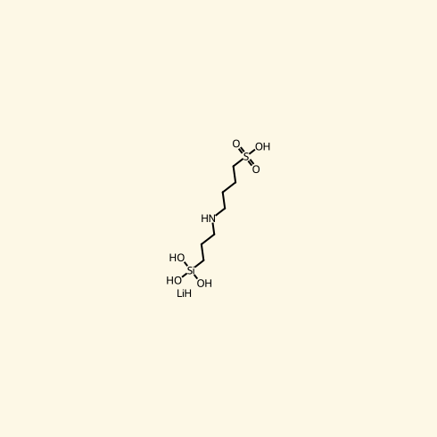 O=S(=O)(O)CCCCNCCC[Si](O)(O)O.[LiH]